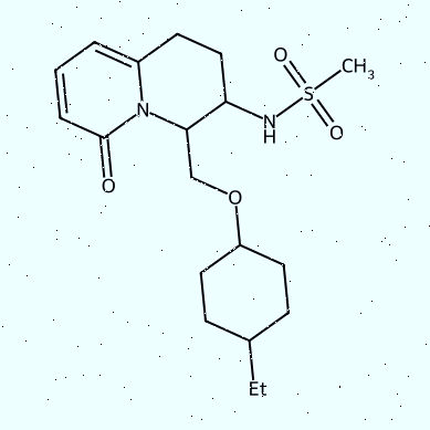 CCC1CCC(OCC2C(NS(C)(=O)=O)CCc3cccc(=O)n32)CC1